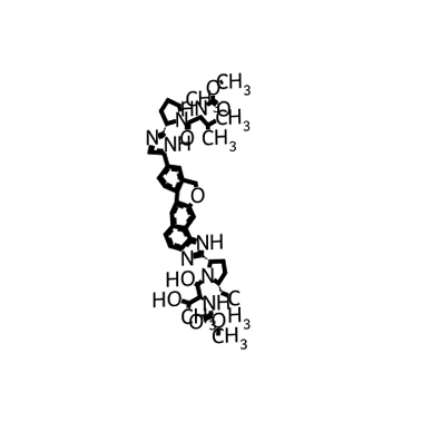 CC[C@H]1CC[C@@H](c2nc3ccc4cc5c(cc4c3[nH]2)OCc2cc(-c3cnc([C@@H]4CC[C@H](C)N4C(=O)[C@@H](NC(=O)OC)C(C)C)[nH]3)ccc2-5)N1C(O)[C@@H](NC(=O)OC)C(C)O